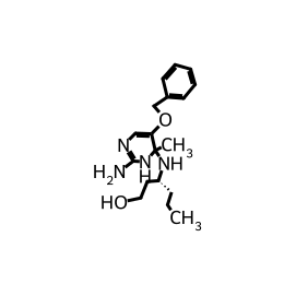 CCC[C@H](CCO)NC1(C)NC(N)=NC=C1OCc1ccccc1